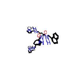 Cn1cccc1CNCCC[C@H](NC(=O)c1ccc(CNCc2cccn2C)cc1)C(=O)NCc1cccc2ccccc12